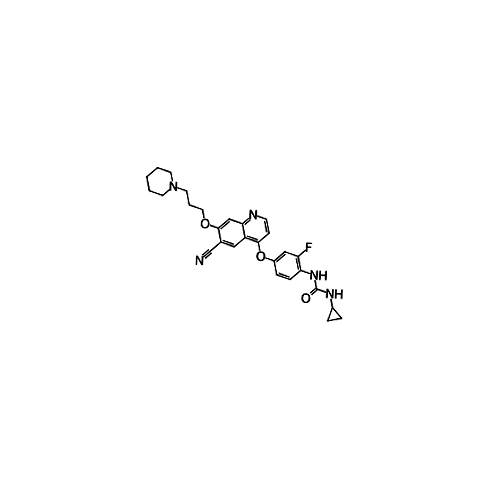 N#Cc1cc2c(Oc3ccc(NC(=O)NC4CC4)c(F)c3)ccnc2cc1OCCCN1CCCCC1